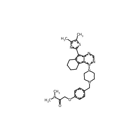 Cc1nc(-c2c3ncnn(N4CCN(Cc5ccc(OCC(=O)N(C)C)cc5)CC4)c-3c3c2CCCC3)sc1C